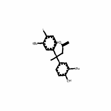 C=C(CC(C)(c1ccc(O)c(C(C)(C)C)c1)c1ccc(I)c(C(C)(C)C)c1)OC